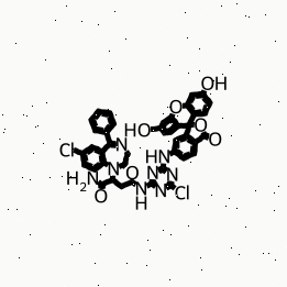 NC(=O)C(CCNc1nc(Cl)nc(Nc2ccc3c(c2)C2(OC3=O)c3ccc(O)cc3Oc3cc(O)ccc32)n1)N1C(=O)CN=C(c2ccccc2)c2cc(Cl)ccc21